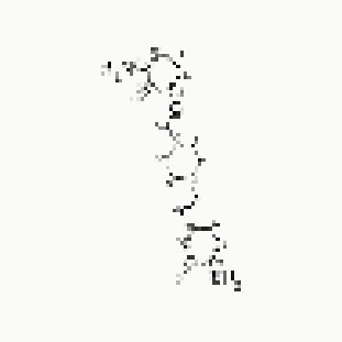 Cc1cc(OCC2CCC(COc3cccc(N)c3C)CC2)ccc1N